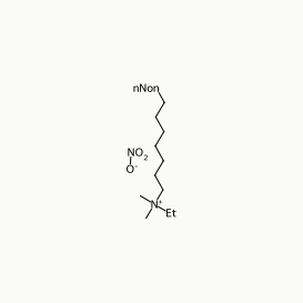 CCCCCCCCCCCCCCCC[N+](C)(C)CC.O=[N+]([O-])[O-]